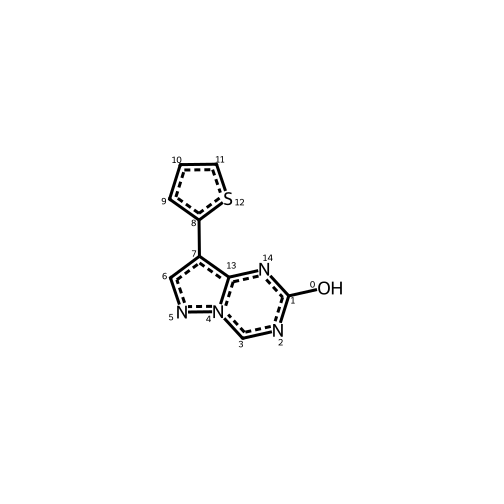 Oc1ncn2ncc(-c3cccs3)c2n1